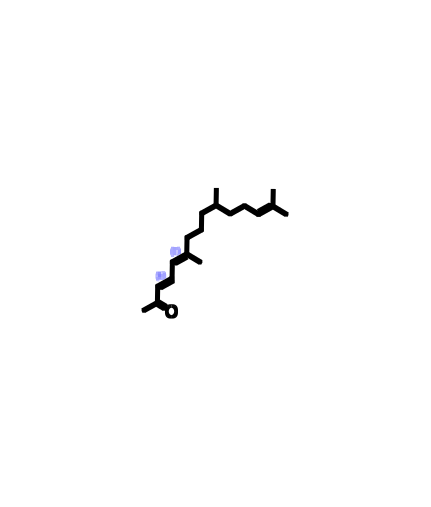 CC(=O)/C=C/C=C(\C)CCCC(C)CCC=C(C)C